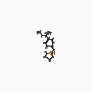 CC(C)CC(c1ccc(C[SH]2CCCC2)cc1)C(C)C